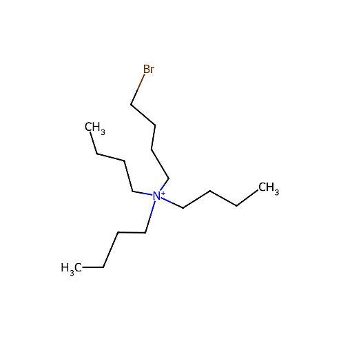 CCCC[N+](CCCC)(CCCC)CCCCBr